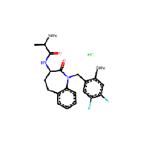 CNC(C)C(=O)NC1CCc2ccccc2N(Cc2cc(F)c(F)cc2OC)C1=O.Cl